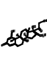 C[C@]12C(O)=CC(=O)C=C1CC[C@@H]1[C@@H]2CC[C@@]2(C)[C@H]1CC(C(=O)O)[C@]2(O)C(=O)CO